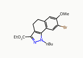 CCCCn1nc(C(=O)OCC)c2c1-c1cc(Br)c(OC)cc1CC2